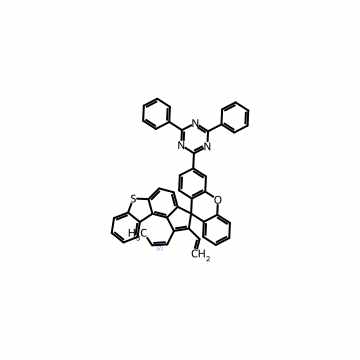 C=CC1=C(/C=C\C)c2c(ccc3sc4ccccc4c23)C12c1ccccc1Oc1cc(-c3nc(-c4ccccc4)nc(-c4ccccc4)n3)ccc12